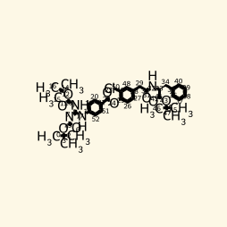 CC(C)(C)OC(=O)/N=C(/NC(=O)OC(C)(C)C)Nc1ccc(C(=O)Oc2ccc(CC(=O)N[C@@H](Cc3ccccc3)C(=O)OC(C)(C)C)cc2Cl)cc1